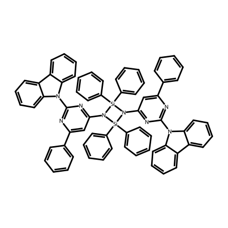 c1ccc(-c2cc(N3[Si](c4ccccc4)(c4ccccc4)N(c4cc(-c5ccccc5)nc(-n5c6ccccc6c6ccccc65)n4)[Si]3(c3ccccc3)c3ccccc3)nc(-n3c4ccccc4c4ccccc43)n2)cc1